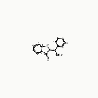 CN/C(=C1/Sc2ccccc2C1=O)c1ccccc1